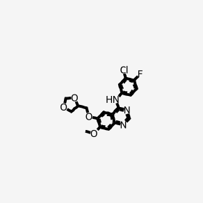 COc1cc2ncnc(Nc3ccc(F)c(Cl)c3)c2cc1OCC1COCO1